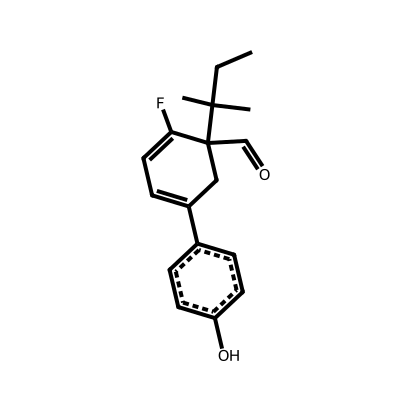 CCC(C)(C)C1(C=O)CC(c2ccc(O)cc2)=CC=C1F